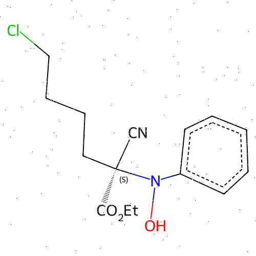 CCOC(=O)[C@@](C#N)(CCCCCl)N(O)c1ccccc1